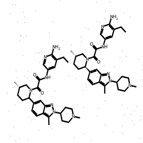 CCc1cc(NC(=O)C(=O)N2C[C@@H](C)CCC2c2ccc3c(C)n(C4CCN(C)CC4)nc3c2)cnc1N.CCc1cc(NC(=O)C(=O)N2C[C@@H](C)CC[C@@H]2c2ccc3c(C)n(C4CCN(C)CC4)nc3c2)cnc1N